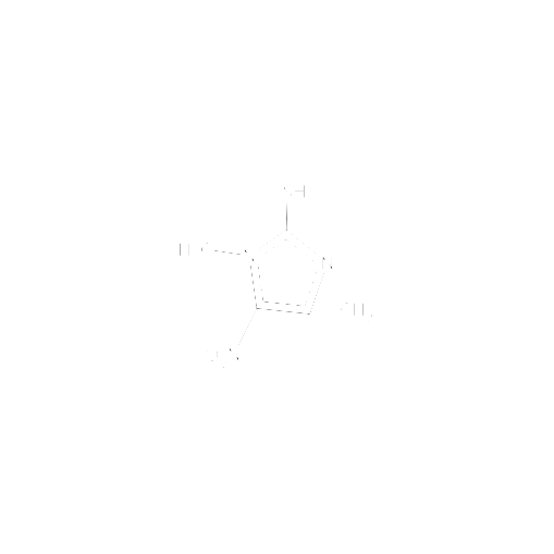 C.Cn1c([N+](=O)[O-])cnc1S